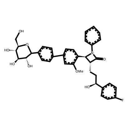 COc1cc(-c2ccc(C3O[C@H](CO)[C@@H](O)[C@H](O)[C@H]3O)cc2)ccc1[C@@H]1[C@@H](CC[C@H](O)c2ccc(F)cc2)C(=O)N1c1ccccc1